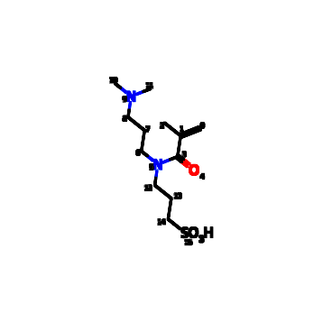 C=C(C)C(=O)N(CCCN(C)C)CCCS(=O)(=O)O